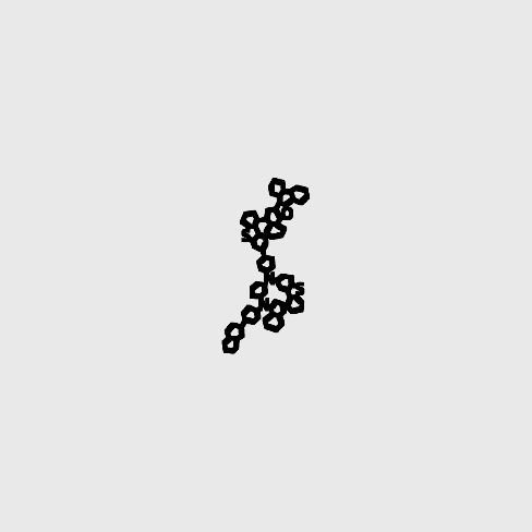 c1cc(N(c2ccc(-c3ccc4c(c3)sc3cccc(-c5cc6c(oc7c8ccccc8c8ccccc8c67)c6ccccc56)c34)cc2)c2ccc3sc4ccccc4c3c2)cc(N(c2ccc(-c3ccc4ccccc4c3)cc2)c2cccc3ccccc23)c1